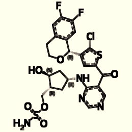 NS(=O)(=O)OC[C@H]1C[C@@H](Nc2ncncc2C(=O)c2cc([C@@H]3OCCc4cc(F)c(F)cc43)c(Cl)s2)C[C@@H]1O